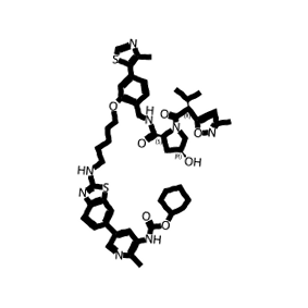 Cc1cc([C@H](C(=O)N2C[C@H](O)C[C@H]2C(=O)NCc2ccc(-c3scnc3C)cc2OCCCCCNc2nc3ccc(-c4cnc(C)c(NC(=O)OC5CCCCC5)c4)cc3s2)C(C)C)on1